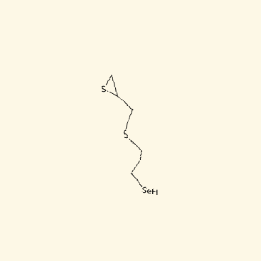 [SeH]CCSCC1CS1